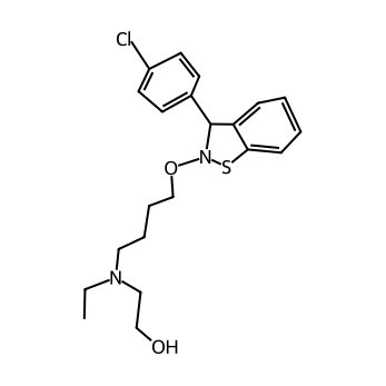 CCN(CCO)CCCCON1Sc2ccccc2C1c1ccc(Cl)cc1